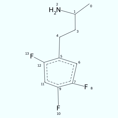 CC(N)CCc1cc(F)c(F)cc1F